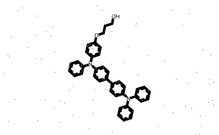 OCCCOc1ccc(N(c2ccccc2)c2ccc(-c3ccc(N(c4ccccc4)c4ccccc4)cc3)cc2)cc1